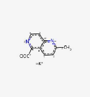 Cc1ccc2c(C(=O)[O-])nccc2n1.[K+]